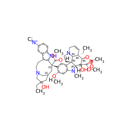 [C-]#[N+]c1ccc2[nH]c3c(c2c1)CCN1C[C@H](C[C@@](O)(CC)C1)C[C@]3(C(=O)OC)c1cc2c(cc1OC)N(C)[C@H]1[C@@](O)(C(=O)OC)[C@H](OC(C)=O)[C@]3(CC)C=CCN4CC[C@]21[C@@H]43